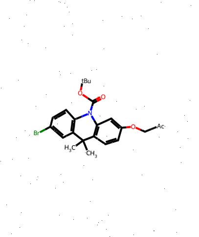 CC(=O)COc1ccc2c(c1)N(C(=O)OC(C)(C)C)c1ccc(Br)cc1C2(C)C